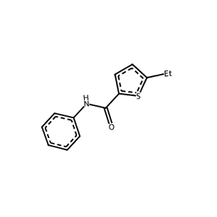 CCc1ccc(C(=O)Nc2ccccc2)s1